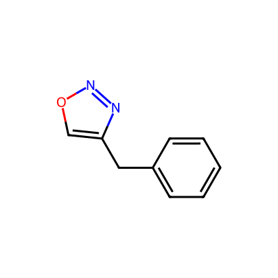 c1ccc(Cc2conn2)cc1